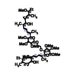 CC[C@H](OC)[C@@H](C)[C@H]1CC1[C@H](O)[C@@H](C)/C=C/C=C(\C)[C@H]1O[C@H](OC)[C@H](OC)[C@@H](OC)[C@H]1OCCO[C@H]1O[C@H](/C(C)=C/C=C/[C@H](C)[C@@H](O)C2C[C@@H]2[C@H](C)[C@H](CC)OC)[C@@H](OC)[C@H](OC)[C@@H]1OC